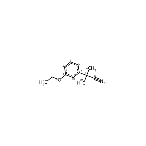 CCOc1cccc(C(C)(C)C#N)c1